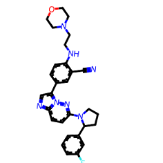 N#Cc1cc(-c2cnc3ccc(N4CCCC4c4cccc(F)c4)nn23)ccc1NCCN1CCOCC1